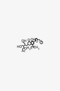 CC(=O)CC(=O)C(CO)C(CCO)CC1CC(=O)c2c(O)c(-c3ccc(CN4CCCC4)o3)cc(N(C)C)c2C1